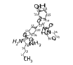 CCCCC(N)C(N)S(=O)(=O)c1ccc(C(=O)[C@H](Cc2ccc(O)cc2)NC(=O)N2CCOCC2)cc1